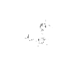 C=C(C)CCO[C@H]1O[C@H](CO[C@@H]2O[C@H](CO)[C@@H](O)[C@H](O)[C@H]2O)[C@@H](O)[C@H](O)[C@H]1O